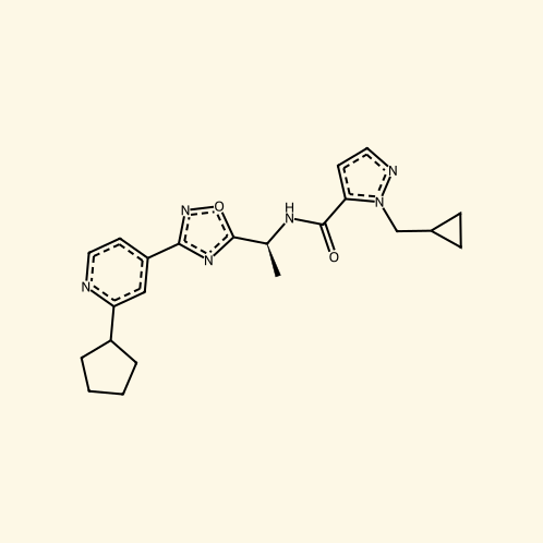 C[C@H](NC(=O)c1ccnn1CC1CC1)c1nc(-c2ccnc(C3CCCC3)c2)no1